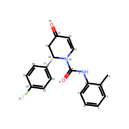 Cc1ccccc1NC(=O)N1C=CC(=O)C[C@H]1c1ccc(F)cc1